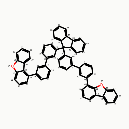 c1cc(-c2cccc(C3(c4cccc(-c5cccc(-c6cccc7oc8ccccc8c67)c5)c4)c4ccccc4-c4ccccc43)c2)cc(-c2cccc3c2oc2ccccc23)c1